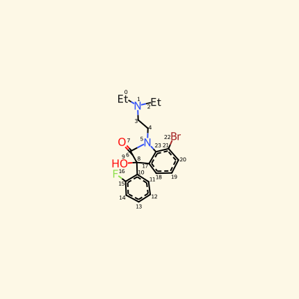 CCN(CC)CCN1C(=O)C(O)(c2ccccc2F)c2cccc(Br)c21